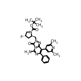 Cc1cc(-c2c(-c3ccccc3)nc(N)n3c(=O)n(C[C@H]4C[C@H](F)CN4C(=O)OC(C)(C)C)nc23)cc(C)n1